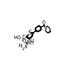 NC(=O)Nc1cc(-c2ccc(C(=O)N3CCCCC3)cc2)sc1C(=O)O